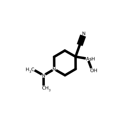 CN(C)N1CCC(C#N)([AsH]O)CC1